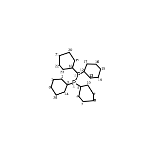 C1CCC(P(C2CCCCC2)P(C2CCCCC2)C2CCCCC2)CC1